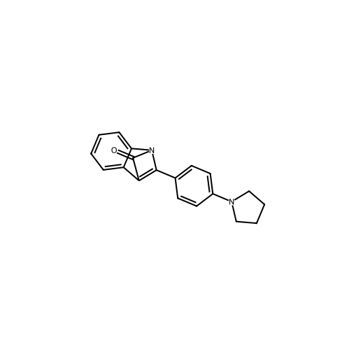 O=C1c2c(-c3ccc(N4CCCC4)cc3)n1c1ccccc21